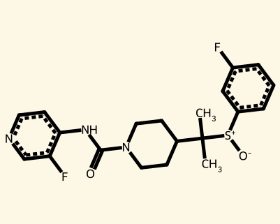 CC(C)(C1CCN(C(=O)Nc2ccncc2F)CC1)[S+]([O-])c1cccc(F)c1